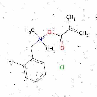 C=C(C)C(=O)O[N+](C)(C)Cc1ccccc1CC.[Cl-]